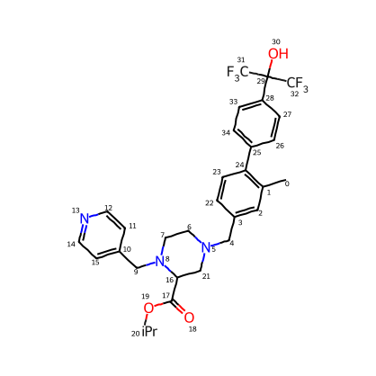 Cc1cc(CN2CCN(Cc3ccncc3)C(C(=O)OC(C)C)C2)ccc1-c1ccc(C(O)(C(F)(F)F)C(F)(F)F)cc1